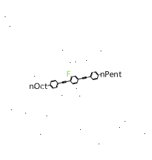 CCCCCCCCc1ccc(C#Cc2ccc(C#Cc3ccc(CCCCC)cc3)cc2F)cc1